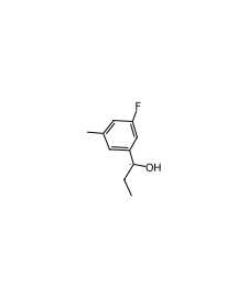 CC[C](O)c1cc(C)cc(F)c1